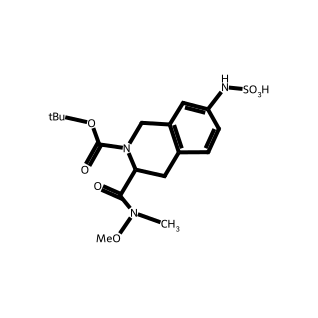 CON(C)C(=O)C1Cc2ccc(NS(=O)(=O)O)cc2CN1C(=O)OC(C)(C)C